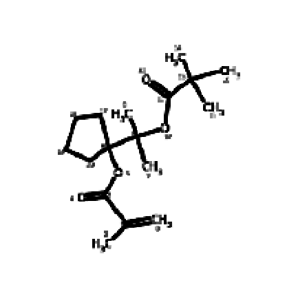 C=C(C)C(=O)OC1(C(C)(C)OC(=O)C(C)(C)C)CCCC1